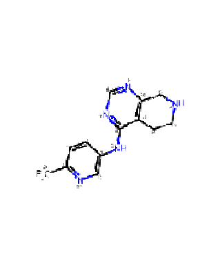 FC(F)(F)c1ccc(Nc2ncnc3c2CCNC3)cn1